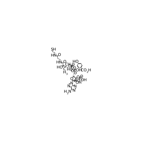 CC(C)(COP(=O)(O)OP(=O)(O)OC[C@H]1O[C@@H](n2cnc3c(N)ncnc32)[C@H](O)[C@@H]1OP(=O)(O)O)[C@@H](O)C(=O)NCCC(=O)NCCS.O=C(O)c1ccc(O)cc1